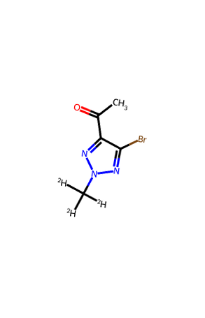 [2H]C([2H])([2H])n1nc(Br)c(C(C)=O)n1